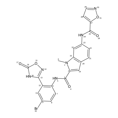 Cn1c(C(=O)Nc2ccc(Br)cc2-c2noc(=O)[nH]2)cc2ccc(NC(=O)c3ccno3)cc21